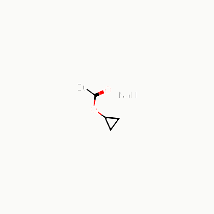 CCC(=O)OC1CC1.[NaH]